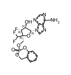 Nc1ncnc2c1ncn2[C@@H]1O[C@@](COP2(=O)OCc3ccccc3O2)(C(F)F)[C@H](F)[C@H]1O